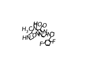 CC(Nc1nn2ccc(N3CCCC3c3cc(F)ccc3F)nc2c1C(=O)O)C1CNCCO1